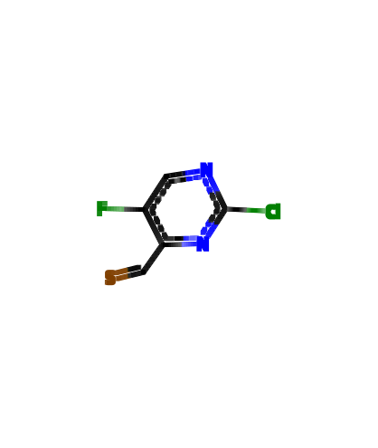 Fc1cnc(Cl)nc1C=S